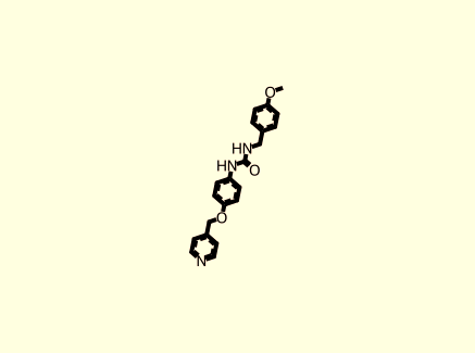 COc1ccc(CNC(=O)Nc2ccc(OCc3ccncc3)cc2)cc1